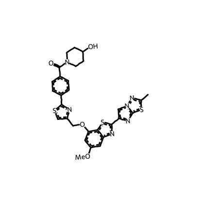 COc1cc(OCc2csc(-c3ccc(C(=O)N4CCC(O)CC4)cc3)n2)c2sc(-c3cn4nc(C)sc4n3)nc2c1